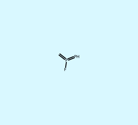 C=P(F)=P